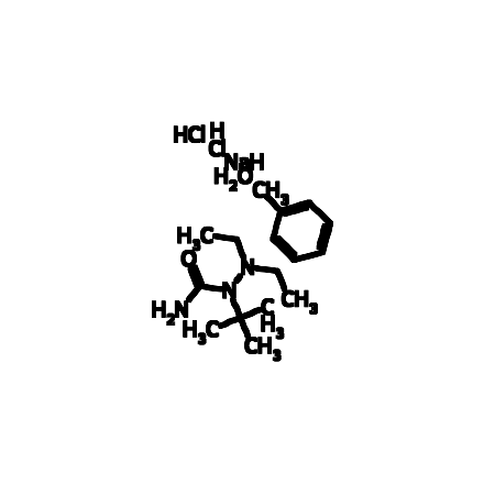 CCN(CC)N(C(N)=O)C(C)(C)C.Cc1ccccc1.Cl.Cl.O.[NaH]